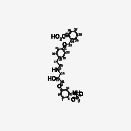 CS(=O)(=O)Nc1cccc(OC[C@@H](O)CNCCc2ccc(OCc3ccccc3C(=O)O)cc2)c1